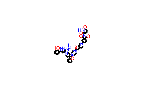 Nc1nnc(-c2ccccc2O)cc1N1CCC(C(=O)N2CCN(C(=O)CC3CCN(c4ccc5c(c4)C(=O)N(C4CCC(=O)NC4=O)C5=O)CC3)CC2)(c2ccccc2)CC1